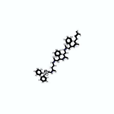 CC(C)=CCC/C(C)=C\C(C/C(C)=C\CC/C(C)=C\C(C/C(C)=C\CC/C(C)=C\CO[Si](c1ccccc1)(c1ccccc1)C(C)(C)C)c1ccccc1)c1ccccc1